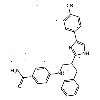 N#Cc1ccc(-c2c[nH]c(C(CNc3ccc(C(N)=O)cc3)Cc3ccccc3)n2)cc1